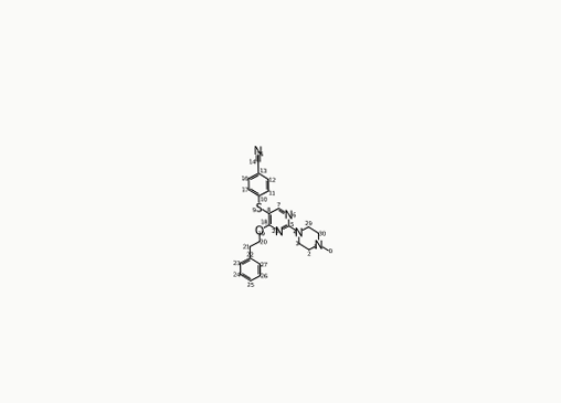 CN1CCN(c2ncc(Sc3ccc(C#N)cc3)c(OCCc3ccccc3)n2)CC1